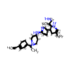 C#Cc1ccc(C(=C)N2CCC(Nc3ccc(C4=CC(CCC)=CN/C4=C(/C#N)C=N)cn3)CC2)cc1